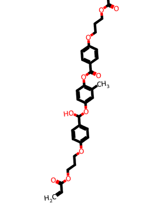 C=CC(=O)OCCCOc1ccc(C(=O)Oc2ccc(OC(O)c3ccc(OCCCOC(=O)C=C)cc3)cc2C)cc1